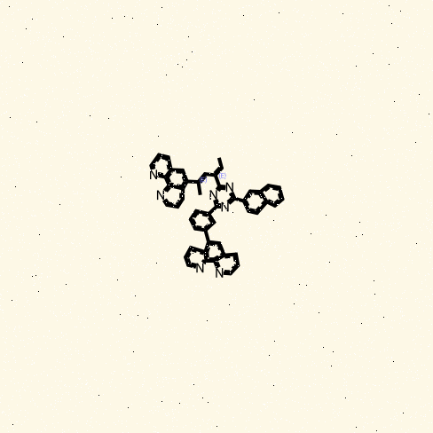 C/C=C(\C=C(/C)c1cc2cccnc2c2ncccc12)c1nc(-c2cccc(-c3cc4cccnc4c4ncccc34)c2)nc(-c2ccc3ccccc3c2)n1